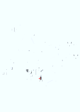 COC(=O)C(C(=O)OC)=C(CS(O[Cl+3]([O-])([O-])[O-])(c1ccc(C(C)(C)C)cc1)c1ccc(C(C)(C)C)cc1)c1ccccc1